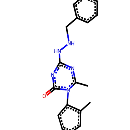 Cc1ccccc1-n1c(C)nc(NNCc2ccccc2)nc1=O